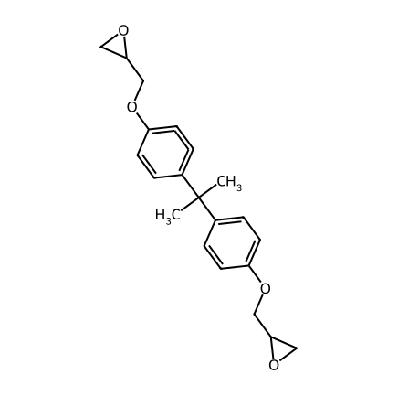 CC(C)(C1=C=C=C(OCC2CO2)C=C1)c1ccc(OCC2CO2)cc1